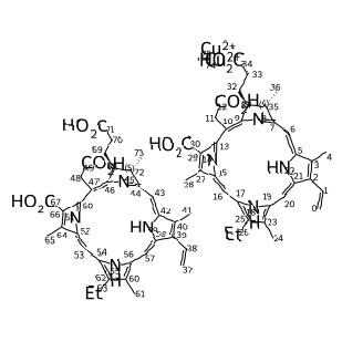 C=Cc1c(C)c2cc3nc(c(CC(=O)O)c4nc(cc5[nH]c(cc1[nH]2)c(C)c5CC)C(C)=C4C(=O)O)[C@@H](CCC(=O)O)[C@@H]3C.C=Cc1c(C)c2cc3nc(c(CC(=O)O)c4nc(cc5[nH]c(cc1[nH]2)c(C)c5CC)C(C)=C4C(=O)O)[C@@H](CCC(=O)O)[C@@H]3C.[Cu+2].[Cu+2]